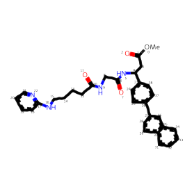 COC(=O)CC(NC(=O)CNC(=O)CCCCNc1ccccn1)c1ccc(-c2ccc3ccccc3c2)cc1